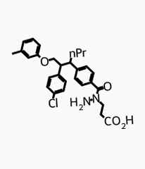 CCCC(c1ccc(C(=O)N(N)CCC(=O)O)cc1)C(COc1cccc(C)c1)c1ccc(Cl)cc1